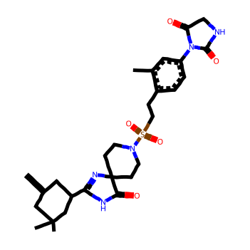 C=C1CC(C2=NC3(CCN(S(=O)(=O)CCc4ccc(N5C(=O)CNC5=O)cc4C)CC3)C(=O)N2)CC(C)(C)C1